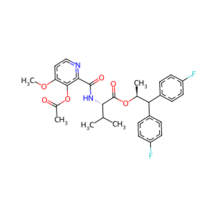 COc1ccnc(C(=O)N[C@H](C(=O)O[C@@H](C)C(c2ccc(F)cc2)c2ccc(F)cc2)C(C)C)c1OC(C)=O